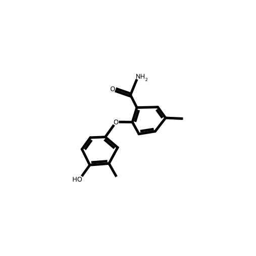 Cc1ccc(Oc2ccc(O)c(C)c2)c(C(N)=O)c1